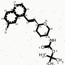 CC(C)(C)OC(=O)N[C@@H]1CC[C@@H](C=Cc2ccnc3ccc(F)cc23)OC1